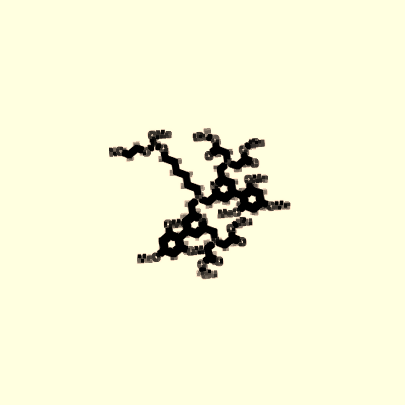 COc1cc(OC)c(-c2cc(CN(CC(=O)OC(C)(C)C)CC(=O)OC(C)(C)C)nc(CN(CCCCCCOP(OC)OCCC#N)Cc3cc(-c4c(OC)cc(OC)cc4OC)cc(CN(CC(=O)OC(C)(C)C)CC(=O)OC(C)(C)C)n3)c2)c(OC)c1